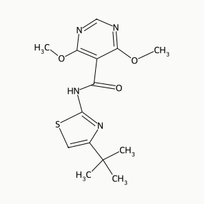 COc1ncnc(OC)c1C(=O)Nc1nc(C(C)(C)C)cs1